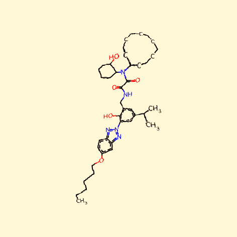 CCCCCCOc1ccc2nn(-c3cc(C(C)C)cc(CNC(=O)C(=O)N(C4CCCCCCCCCCC4)C4CCCCC4O)c3O)nc2c1